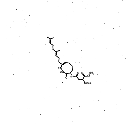 CC(=O)N[C@@H](CC(=O)N[C@H]1CSC/C=C(/CC/C=C(\C)CCC=C(C)C)NNC1=O)C(=O)NN